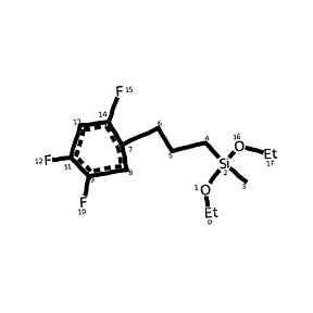 CCO[Si](C)(CCCc1cc(F)c(F)cc1F)OCC